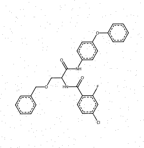 O=C(NC(COCc1ccccc1)C(=O)Nc1ccc(Oc2ccccc2)cc1)c1ccc(Cl)cc1F